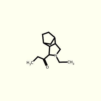 CCC(=O)C1C2C3CCC(C3)C2CN1CC